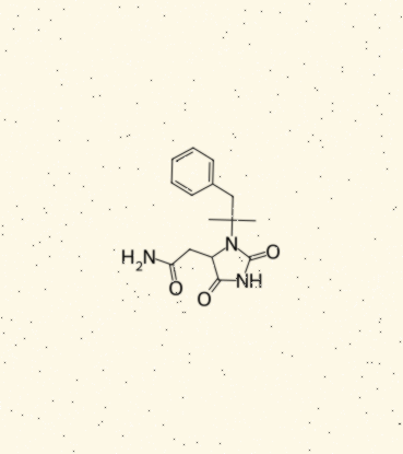 CC(C)(Cc1ccccc1)N1C(=O)NC(=O)C1CC(N)=O